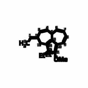 C/C=C1/C=CC2C=CC=C/C(=C/CC)C2=C(C(CC)COC)C1